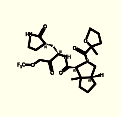 CC1(C(=O)N2C[C@@H]3CCCC3(C)[C@H]2C(=O)N[C@@H](C[C@@H]2CCNC2=O)C(=O)COC(F)(F)F)CCCO1